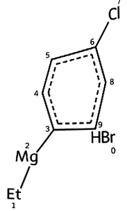 Br.C[CH2][Mg][c]1ccc(Cl)cc1